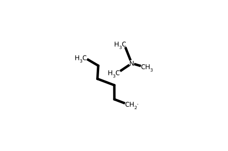 CN(C)C.[CH2]CCCCC